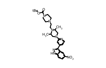 CC1CN(c2cc(-c3n[nH]c4ccc([N+](=O)[O-])cc34)ccn2)CC(C)N1CCN1CCN(C(=O)OC(C)(C)C)CC1